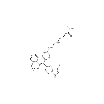 CN(C)C(=O)C=CCNCCOc1ccc(/C(=C(/CC(F)(F)F)c2ccncc2F)c2ccc3[nH]nc(F)c3c2)cn1